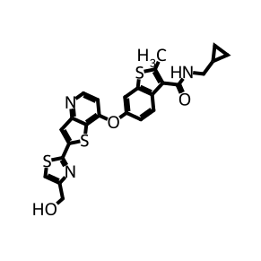 Cc1sc2cc(Oc3ccnc4cc(-c5nc(CO)cs5)sc34)ccc2c1C(=O)NCC1CC1